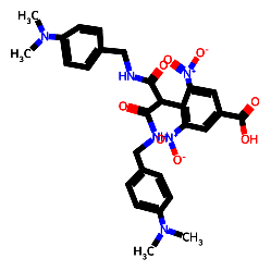 CN(C)c1ccc(CNC(=O)C(C(=O)NCc2ccc(N(C)C)cc2)c2c([N+](=O)[O-])cc(C(=O)O)cc2[N+](=O)[O-])cc1